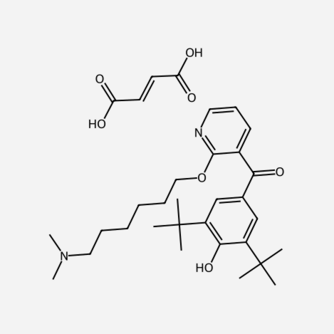 CN(C)CCCCCCOc1ncccc1C(=O)c1cc(C(C)(C)C)c(O)c(C(C)(C)C)c1.O=C(O)C=CC(=O)O